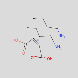 CCCCN.CCCCN.O=C(O)/C=C\C(=O)O